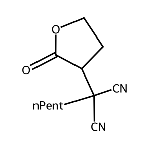 CCCCCC(C#N)(C#N)C1CCOC1=O